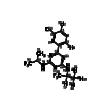 [2H]c1cc([2H])c(-c2nc(NC(C)C(F)(F)F)nc(NC([2H])(C([2H])([2H])[2H])C(F)(F)F)n2)nc1Cl